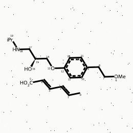 CC=CC=CC(=O)O.COCCc1ccc(OC[C@@H](O)CNC(C)C)cc1